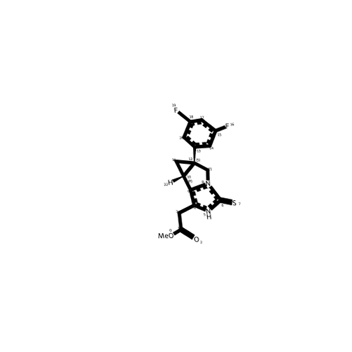 COC(=O)Cc1[nH]c(=S)n2c1[C@@H]1C[C@]1(c1cc(F)cc(F)c1)C2